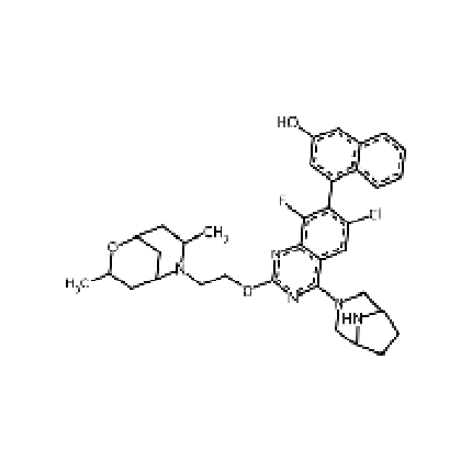 CC1CC2CC(CC(C)N2CCOc2nc(N3CC4CCC(C3)N4)c3cc(Cl)c(-c4cc(O)cc5ccccc45)c(F)c3n2)O1